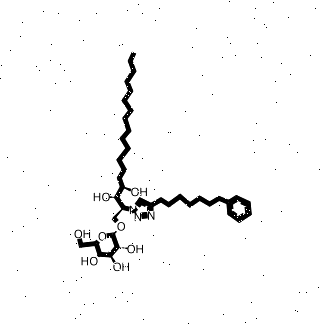 CCCCCCCCCCCCCC[C@@H](O)[C@@H](O)[C@H](CO[C@H]1OC(CO)[C@H](O)[C@H](O)[C@H]1O)n1cc(CCCCCCCc2ccccc2)nn1